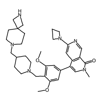 COc1cc(-c2cn(C)c(=O)c3cnc(N4CCC4)cc23)cc(OC)c1CN1CCC(CN2CCC3(CC2)CNC3)CC1